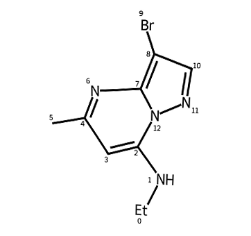 CCNc1cc(C)nc2c(Br)cnn12